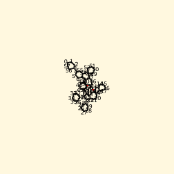 c1ccc(-c2ccc3c4ccc(-n5c6ccccc6c6ccc7c(-c8ccccc8)c(-c8ccccc8)n(-c8ccccc8)c7c65)cc4c4ccccc4c3c2)cc1